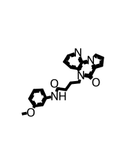 COc1cccc(NC(=O)CCCn2c(=O)c3cccn3c3ncccc32)c1